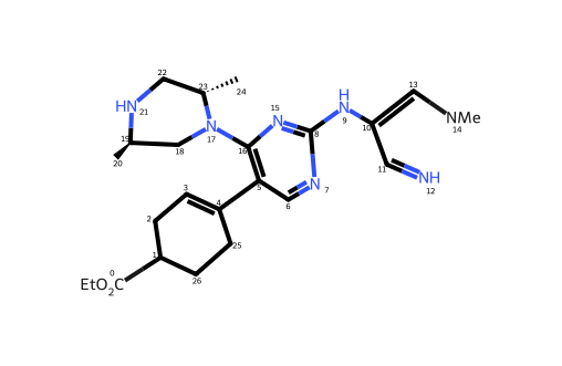 CCOC(=O)C1CC=C(c2cnc(N/C(C=N)=C/NC)nc2N2C[C@@H](C)NC[C@@H]2C)CC1